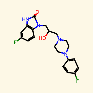 O=c1[nH]c2cc(F)ccc2n1CC(O)CN1CCN(c2ccc(F)cc2)CC1